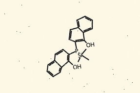 C[Si](C)(C)P(c1ccc2ccccc2c1O)c1ccc2ccccc2c1O